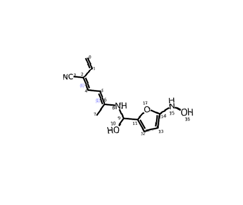 C=C/C(C#N)=C\C=C(/C)NC(O)c1ccc(NO)o1